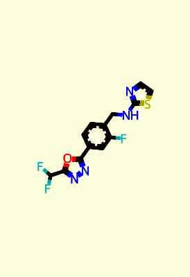 Fc1cc(-c2nnc(C(F)F)o2)ccc1CNc1nccs1